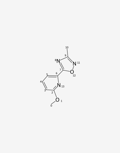 COc1cccc(-c2nc(C)no2)n1